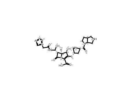 CC(NC(=O)Cn1cnnn1)[C@H]1C(=O)N2C(C(=O)O)=C(S[C@@H]3CN[C@H](C(=O)N4CCC5CNCC54)C3)[C@H](C)[C@H]12